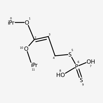 CC(C)OC(=CCSP(O)(O)=S)OC(C)C